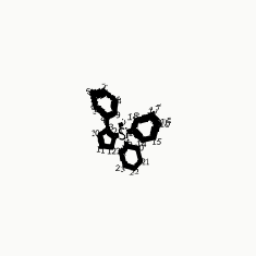 C[Si](C1=C(c2ccccc2)C=CC1)(c1ccccc1)C1CCCCC1